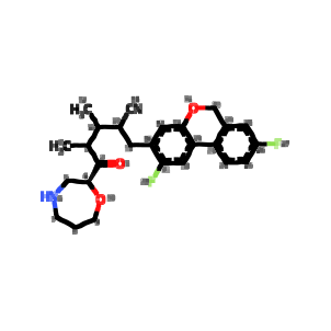 CC(C(=O)[C@@H]1CNCCCO1)C(C)C(C#N)Cc1cc2c(cc1F)-c1ccc(F)cc1CO2